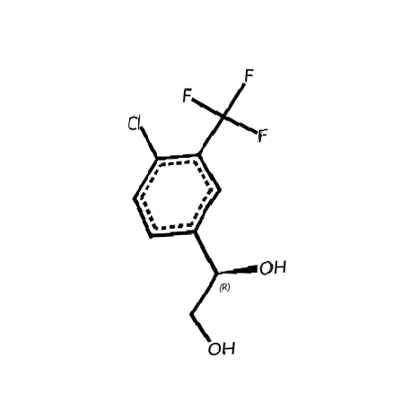 OC[C@H](O)c1ccc(Cl)c(C(F)(F)F)c1